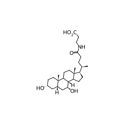 C[C@H](CCC(=O)NCCC(=O)O)[C@H]1CCC2[C@H]3C(CC[C@@]21C)[C@@]1(C)CC[C@@H](O)C[C@H]1C[C@@H]3O